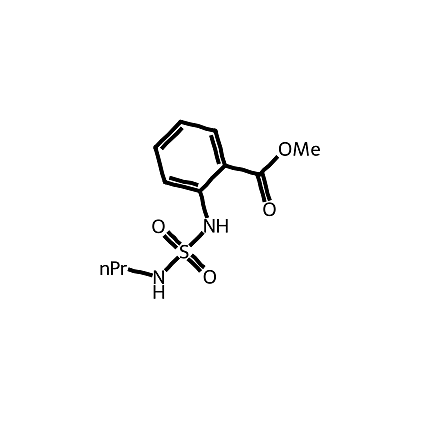 CCCNS(=O)(=O)Nc1ccccc1C(=O)OC